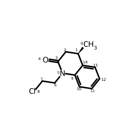 C[C@@H]1CC(=O)N(CCCl)c2ccccc21